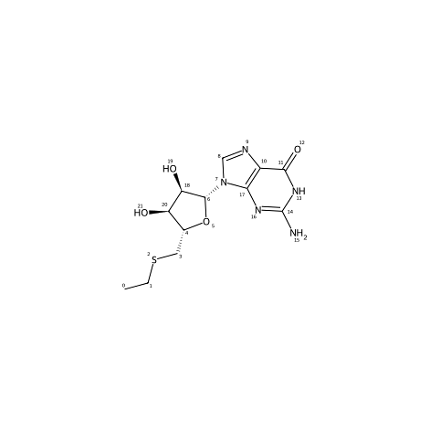 CCSC[C@H]1O[C@@H](n2cnc3c(=O)[nH]c(N)nc32)[C@H](O)[C@@H]1O